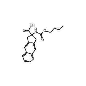 CCCCOC(=O)NC1(C(=O)O)Cc2cc3ccccc3cc2C1